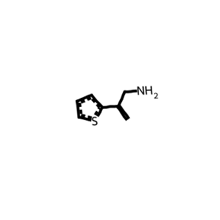 C=C(CN)c1cccs1